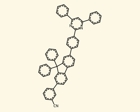 N#Cc1cccc(-c2ccc3c(c2)C(c2ccccc2)(c2ccccc2)c2cc(-c4ccc(-c5nc(-c6ccccc6)cc(-c6ccccc6)n5)cc4)ccc2-3)c1